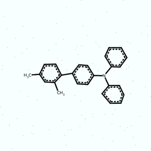 Cc1ccc(-c2ccc(N(c3ccccc3)c3ccccc3)cc2)c(C)c1